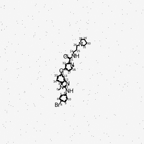 Cn1c(Nc2ccc(Br)cc2)nc2cc(Oc3ccnc(C(=O)NCCCN4CCCC4)c3)ccc21